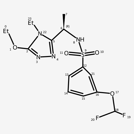 CCOc1nnc([C@@H](C)NS(=O)(=O)c2cccc(OC(F)F)c2)n1CC